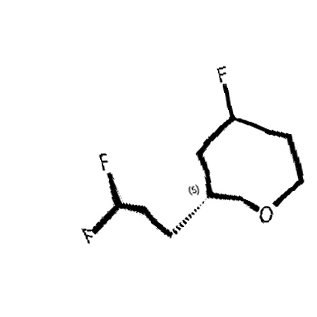 FC(F)C[C@@H]1CC(F)CCO1